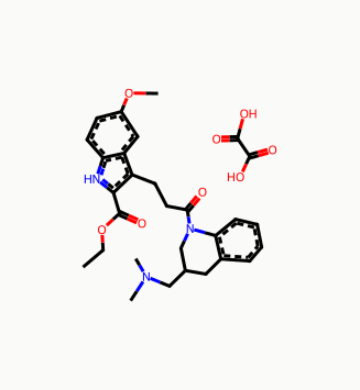 CCOC(=O)c1[nH]c2ccc(OC)cc2c1CCC(=O)N1CC(CN(C)C)Cc2ccccc21.O=C(O)C(=O)O